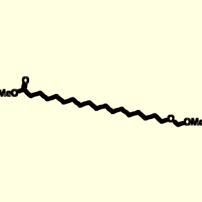 COCOCCCCCCCCCCCCCCCCCC(=O)OC